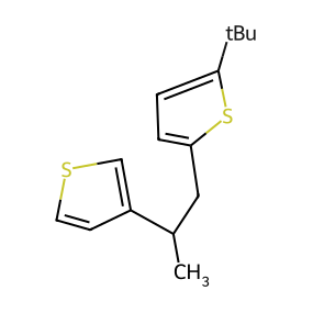 CC(Cc1ccc(C(C)(C)C)s1)c1ccsc1